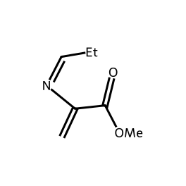 C=C(/N=C\CC)C(=O)OC